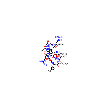 CNC(=O)[C@H](CCCNC(=N)N)NC(=O)[C@H](Cc1c[nH]c2ccccc12)NC(=O)[C@H](CC(C)C)NC(=O)[C@H](C)NC(=O)[C@H](CC(C)C)NC(=O)[C@@H]1CCCN1C(=O)[C@H](CCCNC(=N)N)NC(=O)COCCNC(=O)[C@H](Cc1ccc(C(C)=O)cc1)NC(=O)[C@@H](CCC(=O)O)NC(=O)[C@@H](CCC(=O)O)NC(=O)[C@@H](CCC(=O)O)NC(=O)[C@@H](CCC(=O)O)NC(=O)[C@H](N)CCC(=O)O